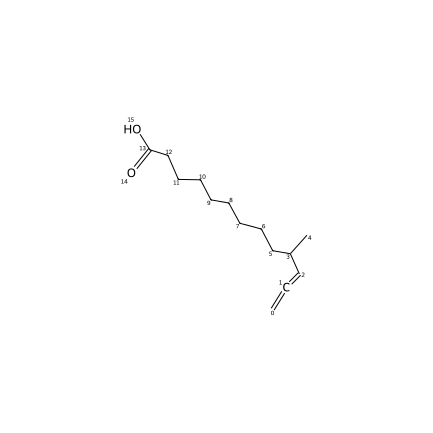 C=C=CC(C)CCCCCCCCC(=O)O